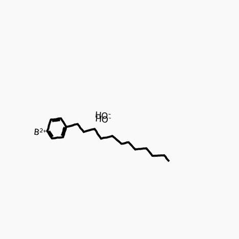 [B+2]c1ccc(CCCCCCCCCCCC)cc1.[OH-].[OH-]